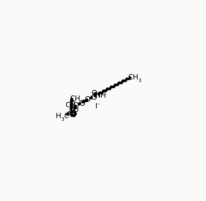 CCCCCCCCCCCCCCCCCNC(=O)OCCOCCOCCOC(=O)N(Cc1cccc[n+]1CC)C(=O)OCC.[I-]